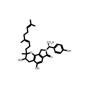 CC(C)=CCC/C(C)=C/CCC1(C)Oc2c(c(O)cc3c2CN([C@@H](C(=O)O)c2ccc(O)cc2)C3=O)CC1O